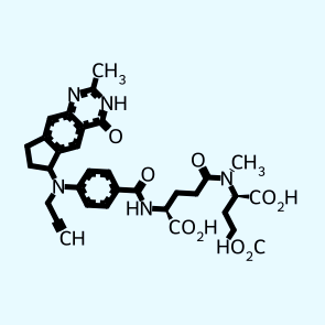 C#CCN(c1ccc(C(=O)N[C@@H](CCC(=O)N(C)[C@H](CCC(=O)O)C(=O)O)C(=O)O)cc1)C1CCc2cc3nc(C)[nH]c(=O)c3cc21